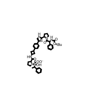 CC(c1ccccc1)[N+](O)(C(=O)[O-])N1CCCC1C(=O)NC1CC(c2ccc(-c3c[nH]c(C4CCCN4C(=O)C(NC(=O)OC(C)(C)C)c4ccccc4)n3)cc2)C1